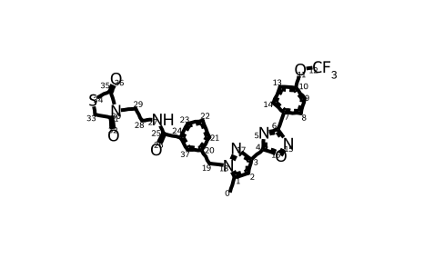 Cc1cc(-c2nc(-c3ccc(OC(F)(F)F)cc3)no2)nn1Cc1cccc(C(=O)NCCN2C(=O)CSC2=O)c1